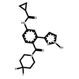 CC(C)n1ccc(-c2cc(NC(=O)C3CC3)ccc2C(=O)N2CCC(F)(F)CC2)n1